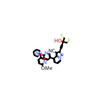 COc1ccc(CN2C3CC2CN(c2ccc(-c4cccn5nc(C#CC(O)(CF)CF)c(C#N)c45)cn2)C3)cn1